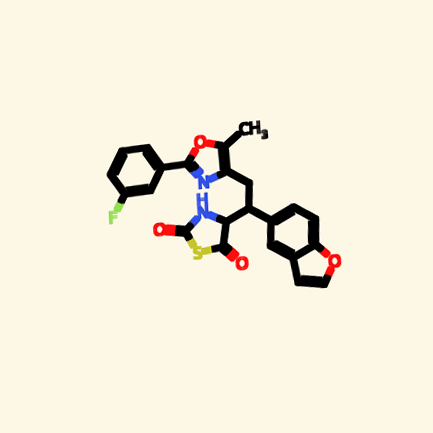 Cc1oc(-c2cccc(F)c2)nc1CC(c1ccc2occc2c1)C1NC(=O)SC1=O